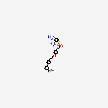 CCCC1CCCC(c2ccc(CCCOc3ccc(/C=C/C(=O)OSc4ccc(N)cc4N)cc3)cc2)C1